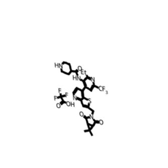 CCc1nc(C(F)(F)F)cc(-c2ccnc3cc(CN4C(=O)C5C(C4=O)C5(C)C)sc23)c1NC(=O)C1CCNCC1.O=C(O)C(F)(F)F